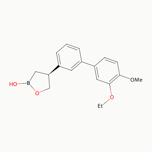 CCOc1cc(-c2cccc([C@H]3COB(O)C3)c2)ccc1OC